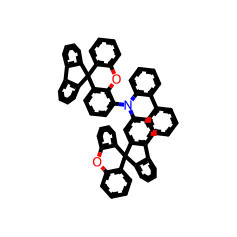 c1ccc(-c2ccccc2N(c2ccc3c(c2)C2(c4ccccc4Oc4ccccc42)c2ccccc2-3)c2cccc3c2Oc2ccccc2C32c3ccccc3-c3ccccc32)cc1